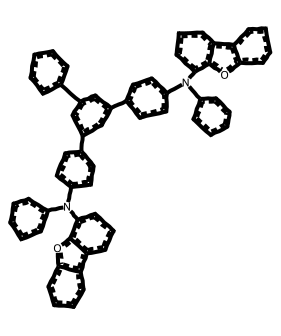 c1ccc(-c2cc(-c3ccc(N(c4ccccc4)c4cccc5c4oc4ccccc45)cc3)cc(-c3ccc(N(c4ccccc4)c4cccc5c4oc4ccccc45)cc3)c2)cc1